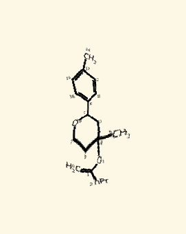 C=C(CCC)OC1(C)CCOC(c2ccc(C)cc2)C1